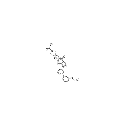 O=C(C1CC1)N1CCC(O)(Cn2cnc3c(cnn3-c3cccc(-c4cccc(OCC5CC5)c4)c3)c2=O)CC1